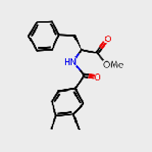 COC(=O)[C@H](Cc1ccccc1)NC(=O)c1ccc(C)c(C)c1